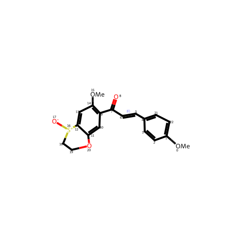 COc1ccc(/C=C/C(=O)c2cc3c(cc2OC)[S+]([O-])CCO3)cc1